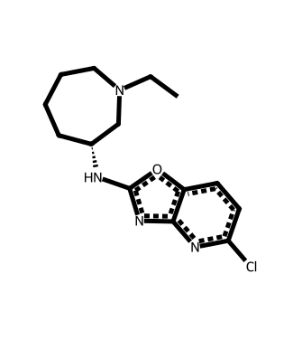 CCN1CCCC[C@@H](Nc2nc3nc(Cl)ccc3o2)C1